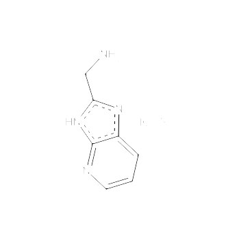 Cl.NCc1nc2c([nH]1)=[N+]C=CC=2.[Cl-]